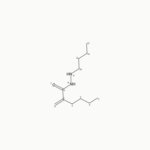 C=C(CCCC)C(=O)NNCCCC